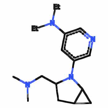 CCN(CC)c1cncc(N2C(CN(C)C)CC3CC32)c1